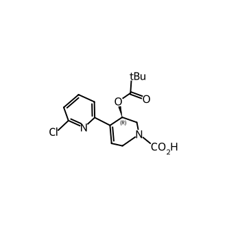 CC(C)(C)C(=O)O[C@H]1CN(C(=O)O)CC=C1c1cccc(Cl)n1